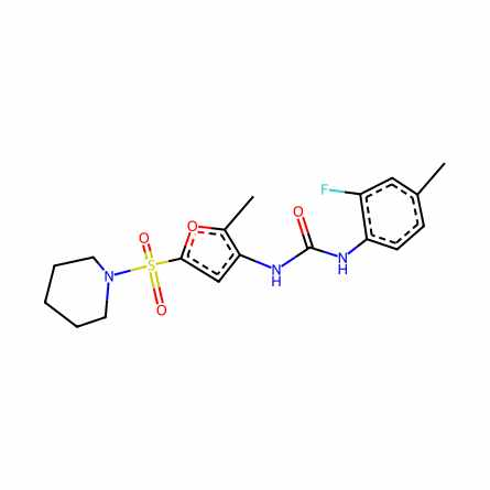 Cc1ccc(NC(=O)Nc2cc(S(=O)(=O)N3CCCCC3)oc2C)c(F)c1